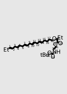 CCC=CCC=CCC=CCC=CCC=CCCCCOC(CC)C(=O)OCCNC(=O)OC(C)(C)C